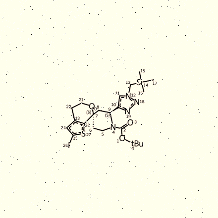 CC(C)(C)OC(=O)N1CC[C@@]2(C[C@H]1c1cn(C[Si](C)(C)C)nn1)OCCc1cc(I)sc12